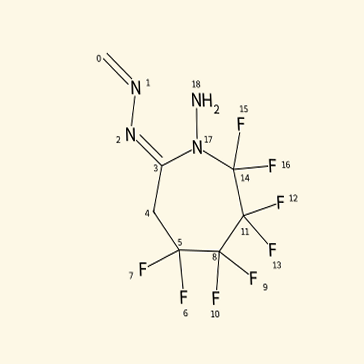 C=N/N=C1/CC(F)(F)C(F)(F)C(F)(F)C(F)(F)N1N